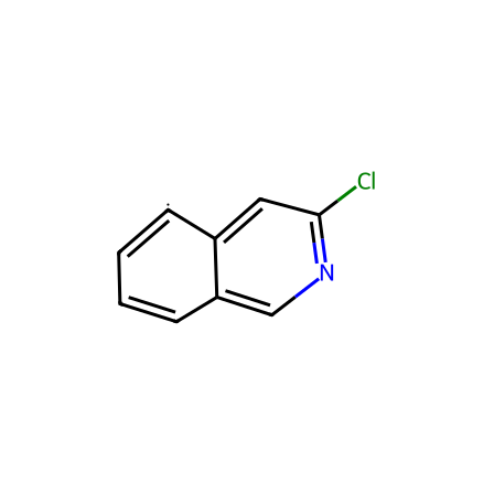 Clc1cc2[c]cccc2cn1